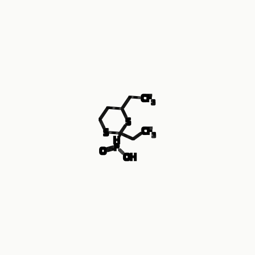 O=[PH](O)C1(CC(F)(F)F)SCCC(CC(F)(F)F)S1